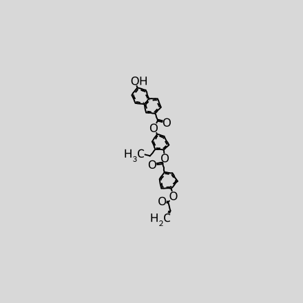 C=CC(=O)Oc1ccc(C(=O)Oc2ccc(OC(=O)c3ccc4cc(O)ccc4c3)cc2CC)cc1